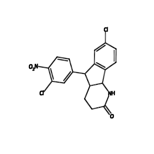 O=C1CCC2C(N1)c1ccc(Cl)cc1C2c1ccc([N+](=O)[O-])c(Cl)c1